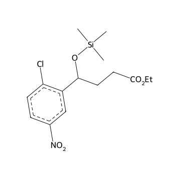 CCOC(=O)CCC(O[Si](C)(C)C)c1cc([N+](=O)[O-])ccc1Cl